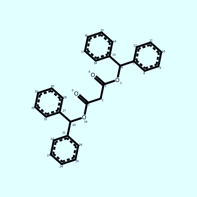 O=C(CC(=O)OC(c1ccccc1)c1ccccc1)OC(c1ccccc1)c1ccccc1